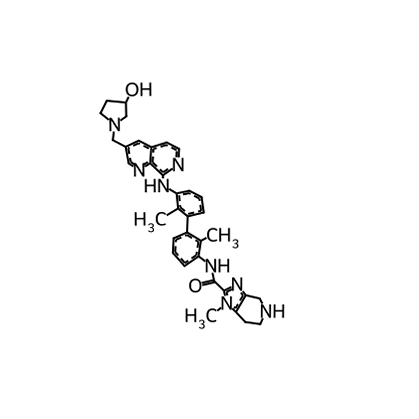 Cc1c(NC(=O)c2nc3c(n2C)CCNC3)cccc1-c1cccc(Nc2nccc3cc(CN4CCC(O)C4)cnc23)c1C